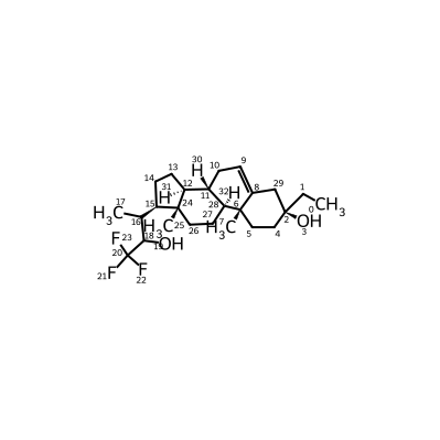 CC[C@]1(O)CC[C@@]2(C)C(=CC[C@H]3[C@@H]4CC[C@H](C(C)C(O)C(F)(F)F)[C@@]4(C)CC[C@@H]32)C1